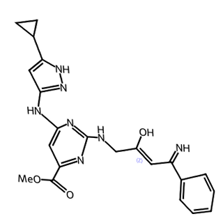 COC(=O)c1cc(Nc2cc(C3CC3)[nH]n2)nc(NC/C(O)=C/C(=N)c2ccccc2)n1